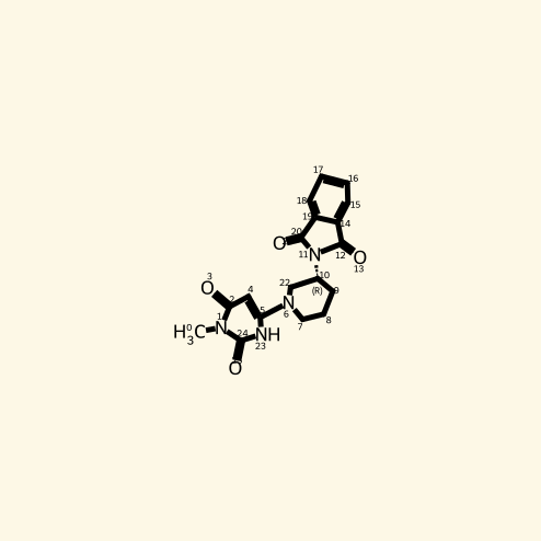 Cn1c(=O)cc(N2CCC[C@@H](N3C(=O)c4ccccc4C3=O)C2)[nH]c1=O